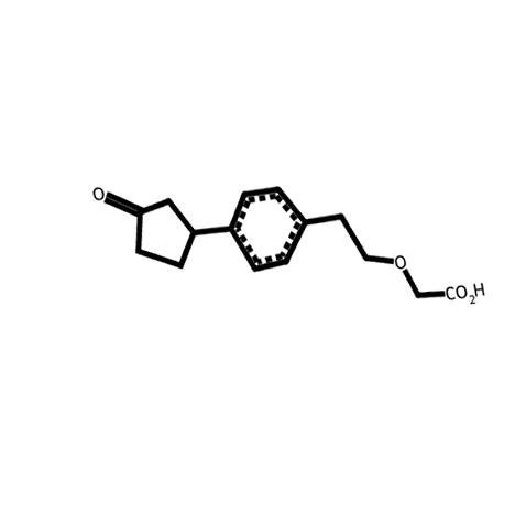 O=C(O)COCCc1ccc(C2CCC(=O)C2)cc1